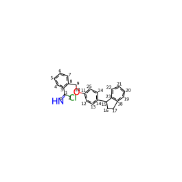 N=C(Cl)c1ccccc1COc1ccc(C2CCc3ccccc32)cc1